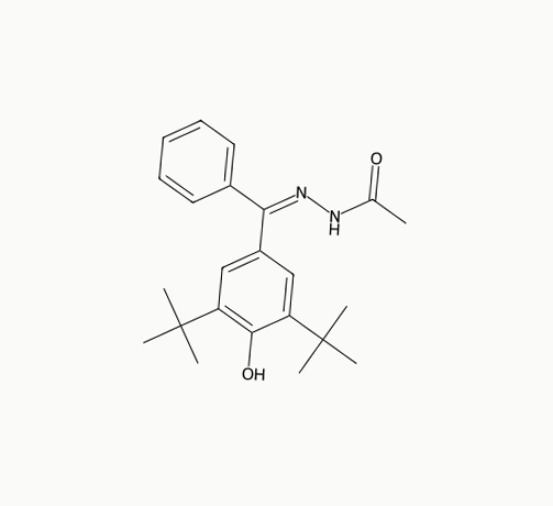 CC(=O)NN=C(c1ccccc1)c1cc(C(C)(C)C)c(O)c(C(C)(C)C)c1